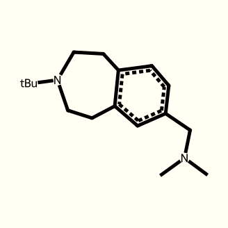 CN(C)Cc1ccc2c(c1)CCN(C(C)(C)C)CC2